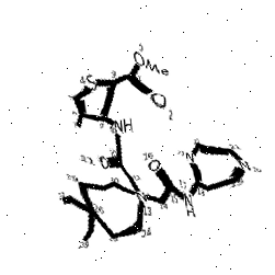 COC(=O)c1scc(C)c1NC(=O)C[N+]1(CC(=O)Nc2cnccn2)CCC(C)(C)CC1